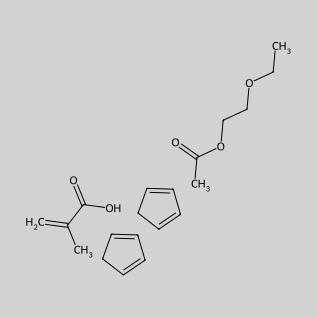 C1=CCC=C1.C1=CCC=C1.C=C(C)C(=O)O.CCOCCOC(C)=O